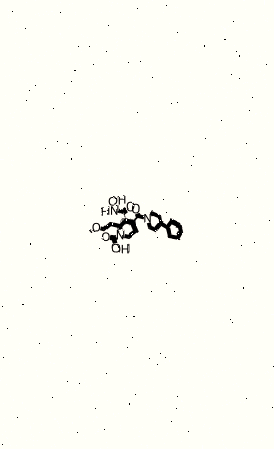 COCCC1[C@H](C(=O)NO)[C@@H](C(=O)N2CCC(c3ccccc3)CC2)CCN1C(=O)O